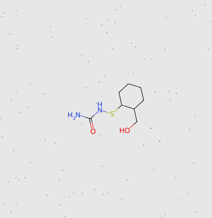 NC(=O)NSC1CCCCC1CO